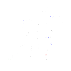 CN1CCCC(N2[N]C(=O)C(c3ccc(Cl)cc3)=C2c2ccncc2)C1